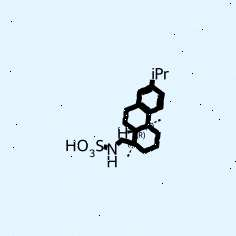 CC(C)c1ccc2c(c1)CC[C@H]1[C@](C)(CNS(=O)(=O)O)CCC[C@]21C